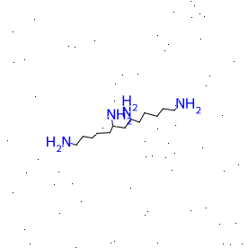 NCCCCCC(N)CC(N)CCCCCN